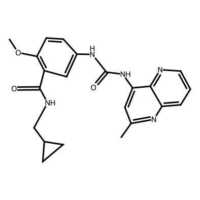 COc1ccc(NC(=O)Nc2cc(C)nc3cccnc23)cc1C(=O)NCC1CC1